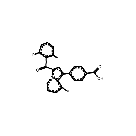 O=C(O)c1ccc(-c2cc(C(=O)c3c(F)cccc3F)n3cccc(F)c23)cc1